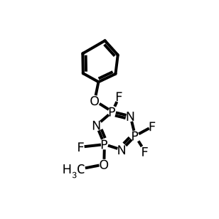 COP1(F)=NP(F)(Oc2ccccc2)=NP(F)(F)=N1